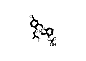 CC(CF)COc1ccc(Cl)cc1Cn1ncc2c(OC(=O)O)cccc21